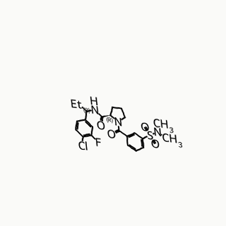 CC[C@@H](NC(=O)[C@H]1CCCN1C(=O)c1cccc(S(=O)(=O)N(C)C)c1)c1ccc(Cl)c(F)c1